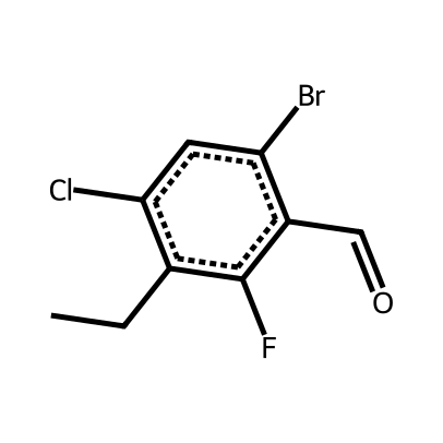 CCc1c(Cl)cc(Br)c(C=O)c1F